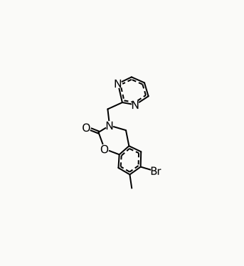 Cc1cc2c(cc1Br)CN(Cc1ncccn1)C(=O)O2